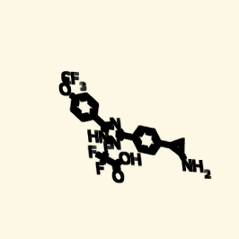 NC1CC1c1ccc(-c2n[nH]c(-c3ccc(OC(F)(F)F)cc3)n2)cc1.O=C(O)C(F)(F)F